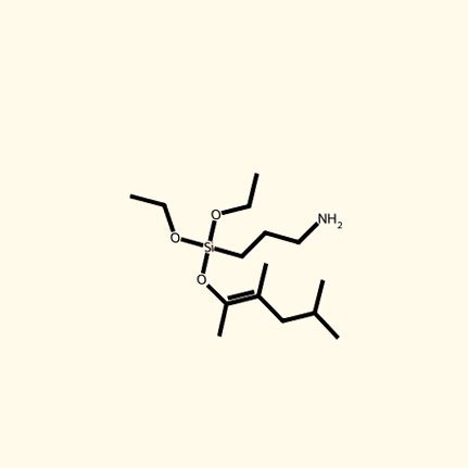 CCO[Si](CCCN)(OCC)OC(C)=C(C)CC(C)C